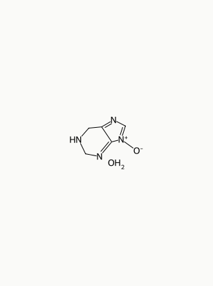 O.[O-][N+]1=CN=C2CNCN=C21